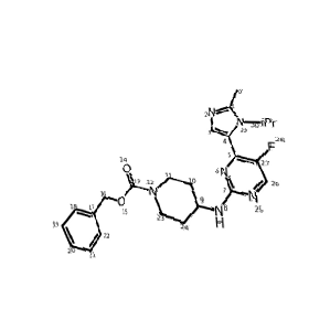 Cc1ncc(-c2nc(NC3CCN(C(=O)OCc4ccccc4)CC3)ncc2F)n1C(C)C